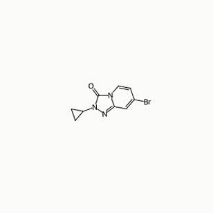 O=c1n(C2CC2)nc2cc(Br)ccn12